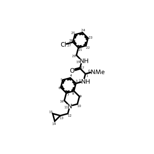 CNC(Nc1cccc2c1CCN(CC1CC1)C2)C(=O)NCc1ccccc1Cl